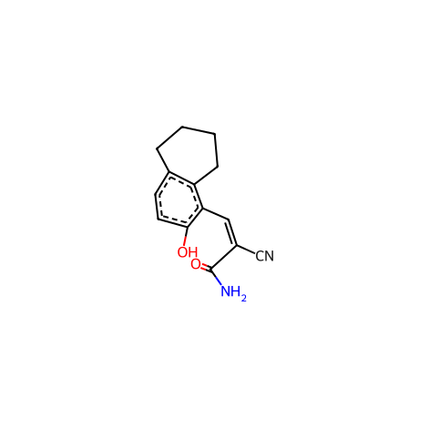 N#C/C(=C/c1c(O)ccc2c1CCCC2)C(N)=O